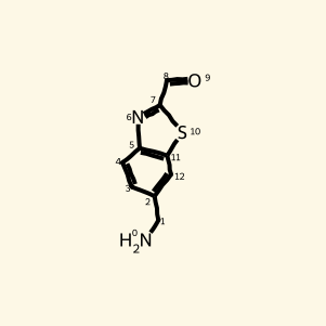 NCc1ccc2nc(C=O)sc2c1